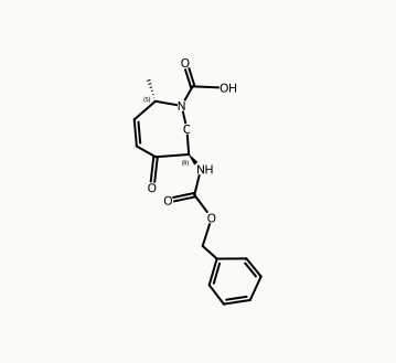 C[C@H]1C=CC(=O)[C@H](NC(=O)OCc2ccccc2)CN1C(=O)O